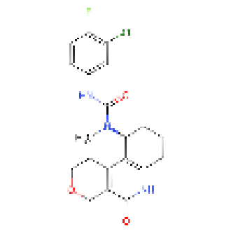 CN(C(=O)Nc1ccc(F)c(Cl)c1)[C@H]1CCCc2[nH]c(=O)c3c(c21)CCOC3